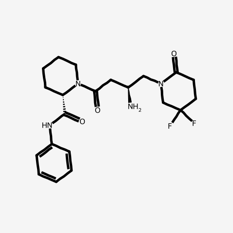 N[C@@H](CC(=O)N1CCCC[C@H]1C(=O)Nc1ccccc1)CN1CC(F)(F)CCC1=O